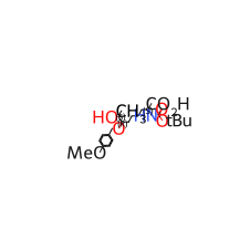 COc1ccc(CO[C@H](CCCC[C@H](NC(=O)OC(C)(C)C)C(=O)O)[C@H](C)O)cc1